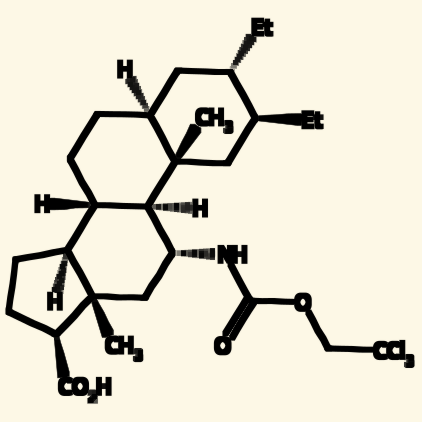 CC[C@H]1C[C@@H]2CC[C@@H]3[C@H]([C@H](NC(=O)OCC(Cl)(Cl)Cl)C[C@]4(C)[C@@H](C(=O)O)CC[C@@H]34)[C@@]2(C)C[C@@H]1CC